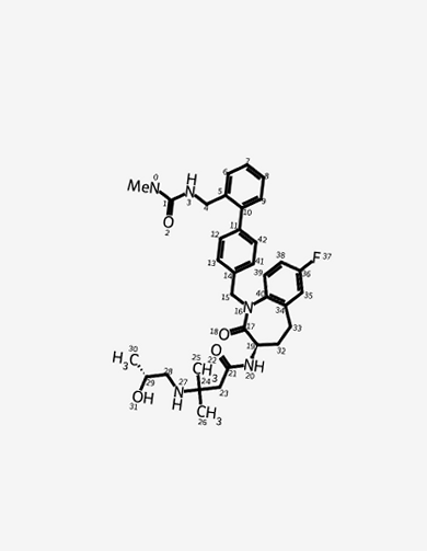 CNC(=O)NCc1ccccc1-c1ccc(CN2C(=O)[C@H](NC(=O)CC(C)(C)NC[C@@H](C)O)CCc3cc(F)ccc32)cc1